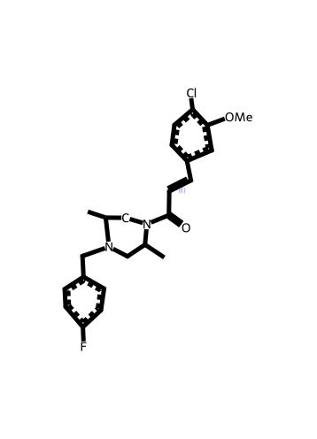 COc1cc(/C=C/C(=O)N2CC(C)N(Cc3ccc(F)cc3)CC2C)ccc1Cl